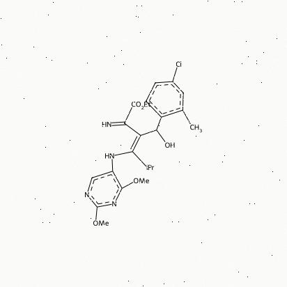 CCOC(=O)C(=N)/C(=C(\Nc1cnc(OC)nc1OC)C(C)C)C(O)c1ccc(Cl)cc1C